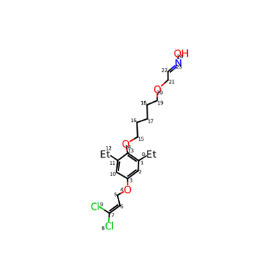 CCc1cc(OCC=C(Cl)Cl)cc(CC)c1OCCCCCOC/C=N/O